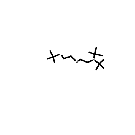 CC(C)(C)SCCOCCN(C(C)(C)C)C(C)(C)C